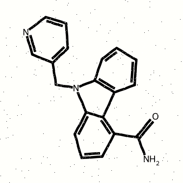 NC(=O)c1cccc2c1c1[c]cccc1n2Cc1cccnc1